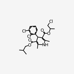 CC1=C(C(=O)OCC(C)C)C(c2cccc(Cl)c2Cl)C(C(=O)OC(C)CCl)=C(C)N1